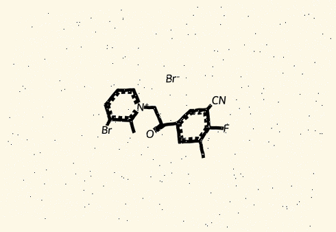 Cc1cc(C(=O)C[n+]2cccc(Br)c2C)cc(C#N)c1F.[Br-]